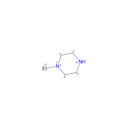 CC[N+]1CCNCC1